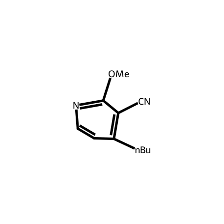 CCCCc1ccnc(OC)c1C#N